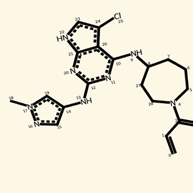 C=CC(=O)N1CCCC(Nc2nc(Nc3cnn(C)c3)nc3[nH]cc(Cl)c23)CC1